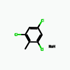 Cc1c(Cl)cc(Cl)cc1Cl.[NaH]